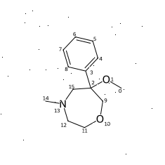 COC1(c2ccccc2)COCCN(C)C1